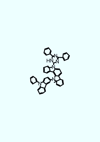 CC12C=CC=CC1c1ccc3c(c1N2c1ccc2c(c1)c1ccccc1n2-c1ccccc1)c1ccccc1n3C1N=C(c2ccccc2)N=C(c2ccccc2)N1